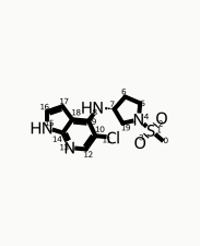 CS(=O)(=O)N1CC[C@@H](Nc2c(Cl)cnc3[nH]ccc23)C1